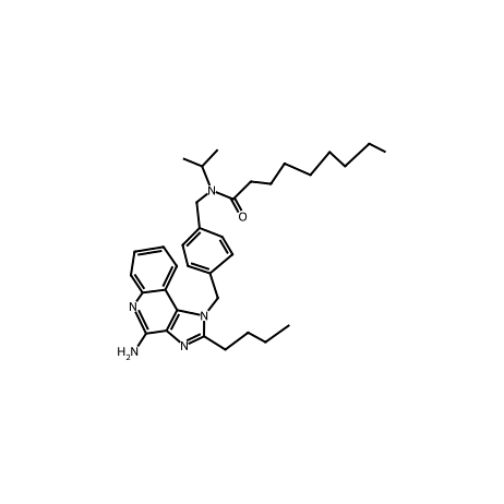 CCCCCCCCC(=O)N(Cc1ccc(Cn2c(CCCC)nc3c(N)nc4ccccc4c32)cc1)C(C)C